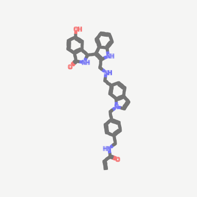 C=CC(=O)NCc1ccc(Cn2ccc3ccc(CNCc4[nH]c5ccccc5c4C4NC(=O)c5ccc(O)cc54)cc32)cc1